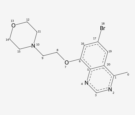 Cc1ncnc2c(OCCN3CCOCC3)cc(Br)cc12